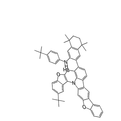 CC(C)(C)c1ccc(Nc2cc3c(cc2-c2ccc4c5cc6c(cc5n5c4c2Bc2oc4ccc(C(C)(C)C)cc4c2-5)oc2ccccc26)C(C)(C)CCC3(C)C)cc1